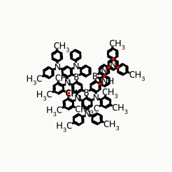 Cc1ccc(N(c2ccc(C)cc2)c2cc3c4c(c2)N(c2ccccc2)c2ccccc2B4c2cc4c(cc2N3)N(c2c(C)cc(C)cc2C)c2cc(N(c3ccc(C)cc3)c3ccc(C)cc3)cc3c2B4c2cc4c(cc2N3c2c(C)cc(C)cc2C)N(c2c(C)cc(C)cc2C)c2cc(N(c3ccc(C)cc3)c3ccc(C)cc3)cc3c2B4c2ccccc2N3c2ccccc2)cc1